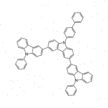 c1ccc(-c2ccc(-n3c4ccc(-c5ccc6c(c5)c5ccccc5n6-c5ccccc5)cc4c4cc(-c5ccc6c(c5)c5ccccc5n6-c5ccccc5)ccc43)cc2)cc1